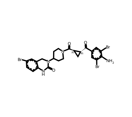 Nc1c(Br)cc(C(=O)[C@@H]2C[C@H]2C(=O)N2CCC(N3Cc4cc(Br)ccc4NC3=O)CC2)cc1Br